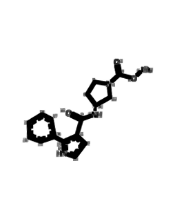 CC(C)(C)OC(=O)N1CC[C@@H](NC(=O)c2cc[nH]c2-c2ccccc2)C1